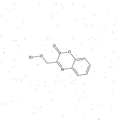 CCOCc1nc2ccccc2oc1=O